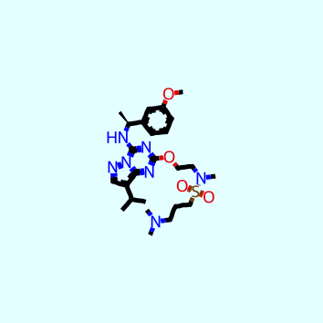 COc1cccc([C@H](C)Nc2nc(OCCN(C)S(=O)(=O)CCCN(C)C)nc3c(C(C)C)cnn23)c1